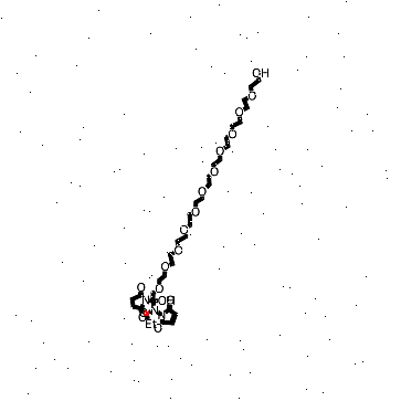 CCC(=O)N(N1C(=O)C=CC1=O)C(O)(COCCOCCOCCOCCOCCOCCOCCOCCOCCOCCOCCO)N1C(=O)CCC1=O